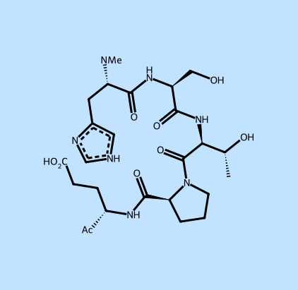 CN[C@@H](Cc1c[nH]cn1)C(=O)N[C@@H](CO)C(=O)N[C@H](C(=O)N1CCC[C@H]1C(=O)N[C@@H](CCC(=O)O)C(C)=O)[C@@H](C)O